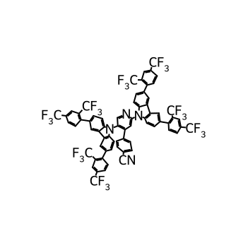 N#Cc1ccc(-c2cc(-n3c4ccc(-c5ccc(C(F)(F)F)cc5C(F)(F)F)cc4c4cc(-c5ccc(C(F)(F)F)cc5C(F)(F)F)ccc43)ncc2-n2c3ccc(-c4ccc(C(F)(F)F)cc4C(F)(F)F)cc3c3cc(-c4ccc(C(F)(F)F)cc4C(F)(F)F)ccc32)cc1